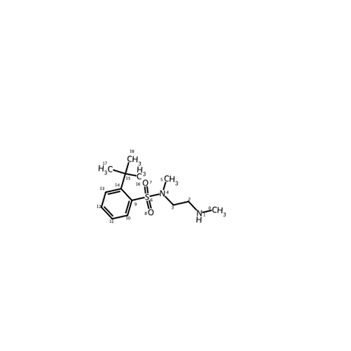 CNCCN(C)S(=O)(=O)c1ccccc1C(C)(C)C